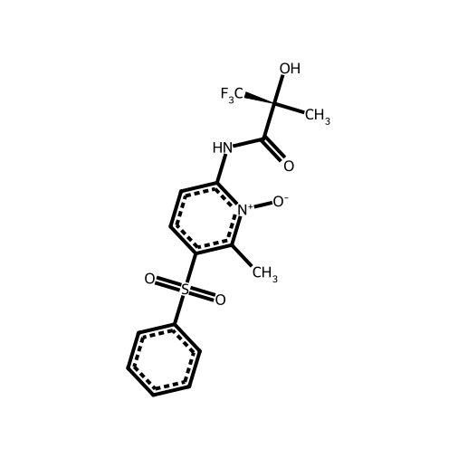 Cc1c(S(=O)(=O)c2ccccc2)ccc(NC(=O)[C@@](C)(O)C(F)(F)F)[n+]1[O-]